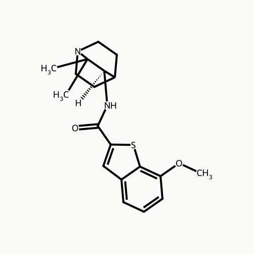 COc1cccc2cc(C(=O)N[C@@H]3C4CCN(CC4)C3(C)C)sc12